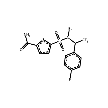 CCN(C(c1ccc(F)cc1)C(F)(F)F)S(=O)(=O)c1ccc(C(N)=O)s1